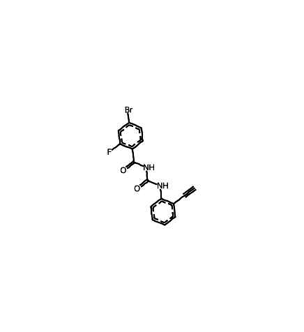 C#Cc1ccccc1NC(=O)NC(=O)c1ccc(Br)cc1F